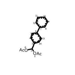 CC(=O)OC(OC(C)=O)c1ccc(-c2ccccc2)cc1